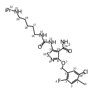 Cc1cc(F)c(COc2nsc(NC(=O)NCCCCCNC(C)C)c2C(N)=O)cc1Cl